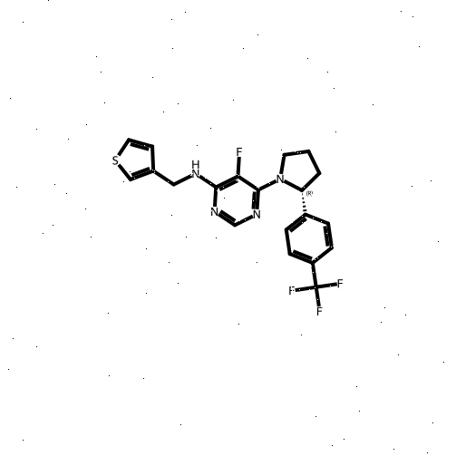 Fc1c(NCc2ccsc2)ncnc1N1CCC[C@@H]1c1ccc(C(F)(F)F)cc1